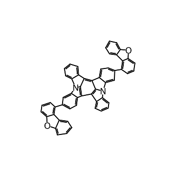 c1ccc2c(c1)oc1cccc(-c3ccc4c5c6c7ccccc7n7c8cc(-c9cccc%10oc%11ccccc%11c9%10)ccc8c(c8c9ccccc9n(c4c3)c85)c67)c12